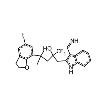 CC(C)(CC(O)(Cc1[nH]c2ccccc2c1C=N)C(F)(F)F)c1cc(F)cc2c1OCC2